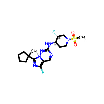 CC1(c2nc(F)c3cnc(N[C@@H]4CCN(S(C)(=O)=O)C[C@H]4F)nn23)CCCC1